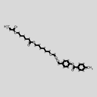 C=CC(=O)OCCCCCC(=O)OCCCCCCOC=C=C=Cc1ccc(OC(=O)c2ccc(C)cc2)cc1